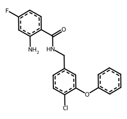 Nc1cc(F)ccc1C(=O)NCc1ccc(Cl)c(Oc2ccccc2)c1